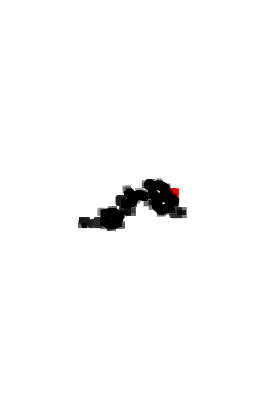 C=C1CC[C@@H]2C(C)(C)[C@H](O)CC[C@@]2(C)[C@@H]1CCC(C)=CC(=O)Nc1ccc(OC)cc1